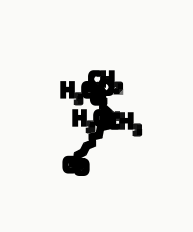 C=C(C)C(=O)OCCC[N+](C)(C)CCCCCCCCC(=O)[O-]